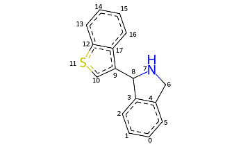 c1ccc2c(c1)CNC2c1csc2ccccc12